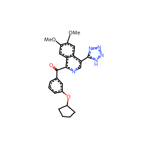 COc1cc2c(-c3nnn[nH]3)cnc(C(=O)c3cccc(OC4CCCC4)c3)c2cc1OC